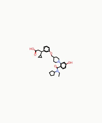 CCN(C(=O)c1ccc(O)cc1N1CCC(COc2cccc(C(CC(=O)O)C3CC3)c2)CC1)C1CCCC1